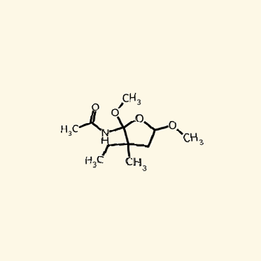 CCC1(C)CC(OC)OC1(NC(C)=O)OC